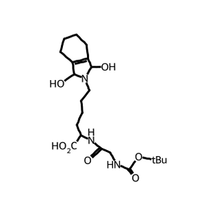 CC(C)(C)OC(=O)NCC(=O)NC(CCCCN1C(O)C2=C(CCCC2)C1O)C(=O)O